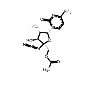 CC(=O)OC[C@@]1(N=[N+]=[N-])O[C@@H](n2ccc(N)nc2=O)[C@@H](O)[C@@H]1O